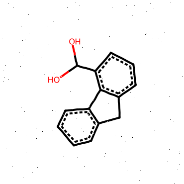 OC(O)c1cccc2c1-c1ccccc1C2